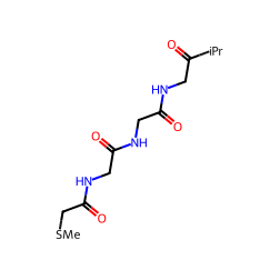 CSCC(=O)NCC(=O)NCC(=O)NCC(=O)C(C)C